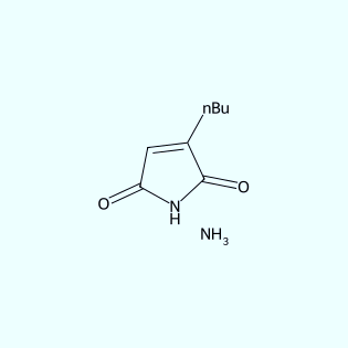 CCCCC1=CC(=O)NC1=O.N